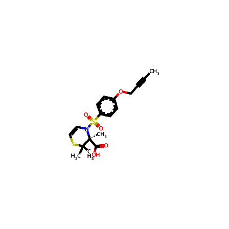 CC#CCOc1ccc(S(=O)(=O)N2C=CSC(C)(C)[C@]2(C)C(=O)O)cc1